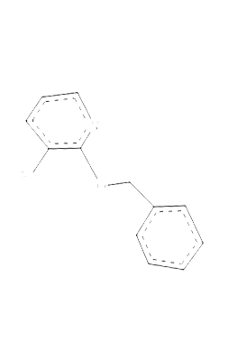 Brc1cccnc1OCc1ccccc1